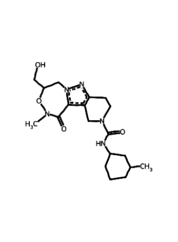 CC1CCCC(NC(=O)N2CCc3nn4c(c3C2)C(=O)N(C)OC(CO)C4)C1